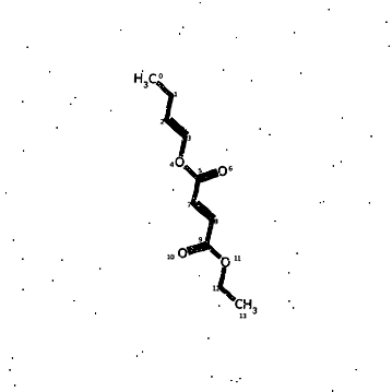 CCC=COC(=O)C=CC(=O)OCC